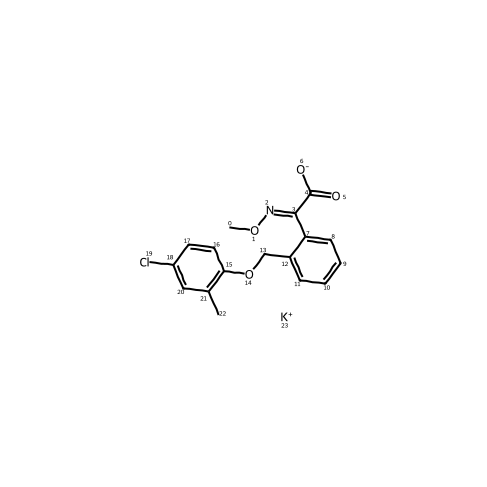 CO/N=C(/C(=O)[O-])c1ccccc1COc1ccc(Cl)cc1C.[K+]